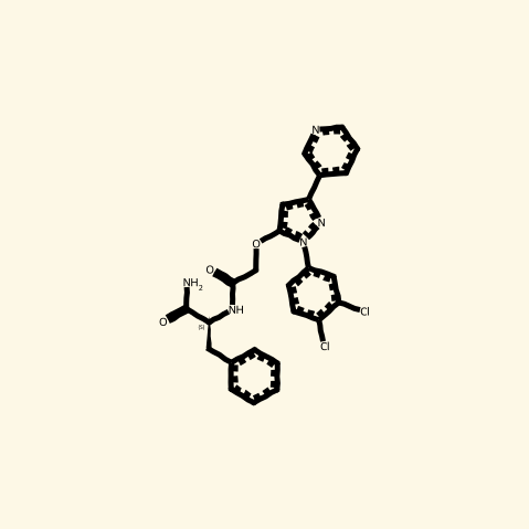 NC(=O)[C@H](Cc1ccccc1)NC(=O)COc1cc(-c2cccnc2)nn1-c1ccc(Cl)c(Cl)c1